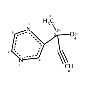 C#C[C@](C)(O)c1cnccn1